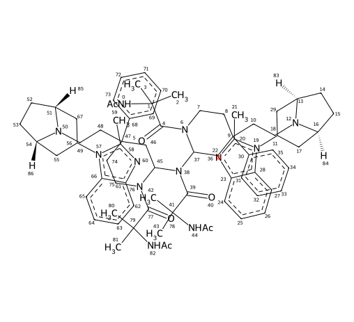 CC(=O)NC(C)(C)C(=O)N1CCC(CCN2[C@@H]3CC[C@H]2CC(n2c(C)nc4ccccc42)C3)(c2ccccc2)CC1N(C(=O)C(C)(C)NC(C)=O)C1CC(CCN2[C@@H]3CC[C@H]2CC(n2c(C)nc4ccccc42)C3)(c2ccccc2)CCN1C(=O)C(C)(C)NC(C)=O